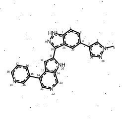 Cn1cc(-c2ccc3[nH]nc(-c4cc5c(-c6cccnc6)cncc5[nH]4)c3c2)cn1